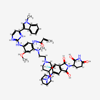 C=CC(=O)Nc1cc(Nc2nccc(-c3cn(C)c4ccccc34)n2)c(OC)cc1N(C)CCN1CCC(CN2C3CC2CN(c2cc4c(cc2F)C(=O)N(C2CCC(=O)NC2=O)C4=O)C3)CC1